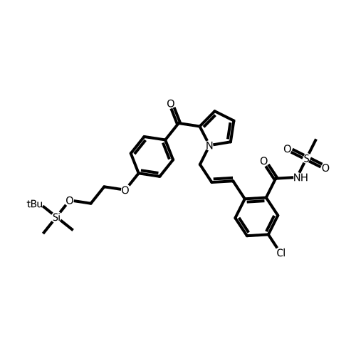 CC(C)(C)[Si](C)(C)OCCOc1ccc(C(=O)c2cccn2C/C=C/c2ccc(Cl)cc2C(=O)NS(C)(=O)=O)cc1